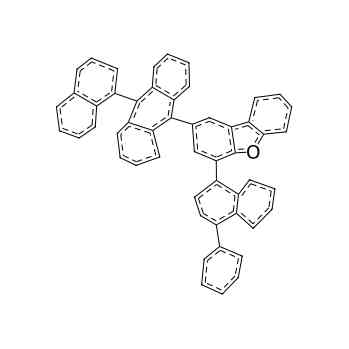 c1ccc(-c2ccc(-c3cc(-c4c5ccccc5c(-c5cccc6ccccc56)c5ccccc45)cc4c3oc3ccccc34)c3ccccc23)cc1